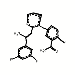 NC(=O)c1cc(-c2cccnc2CC(N)c2cc(F)cc(F)c2)ccc1F